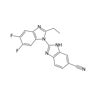 CCc1nc2cc(F)c(F)cc2n1-c1nc2ccc(C#N)cc2[nH]1